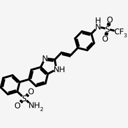 NS(=O)(=O)c1ccccc1-c1ccc2[nH]c(C=Cc3ccc(NS(=O)(=O)C(F)(F)F)cc3)nc2c1